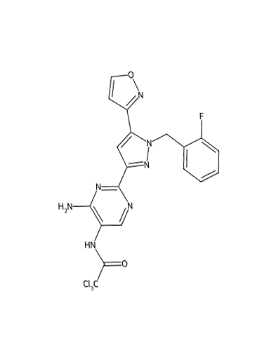 Nc1nc(-c2cc(-c3ccon3)n(Cc3ccccc3F)n2)ncc1NC(=O)C(Cl)(Cl)Cl